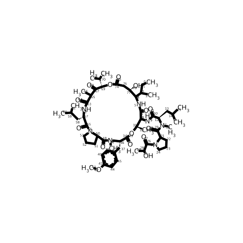 CCC(C)C1NC(=O)C(NC(=O)[C@@H](CC(C)C)N(C)C(=O)C2CCCN2C(=O)C(C)O)[C@@H](C)OC(=O)[C@H](Cc2ccc(OC)cc2)N(C)C(=O)C2CCCN2C(=O)[C@H](CC(C)C)NC(=O)C(C)C(=O)[C@H](C(C)C)OC(=O)C[C@@H]1O